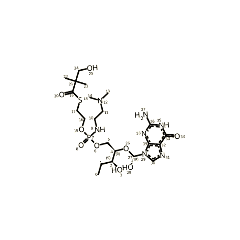 CC[C@H](O)[C@@H](COP(=O)(NCCN(C)C)OCCSC(=O)C(C)(C)CO)O[C@@H](O)n1cnc2c(=O)[nH]c(N)nc21